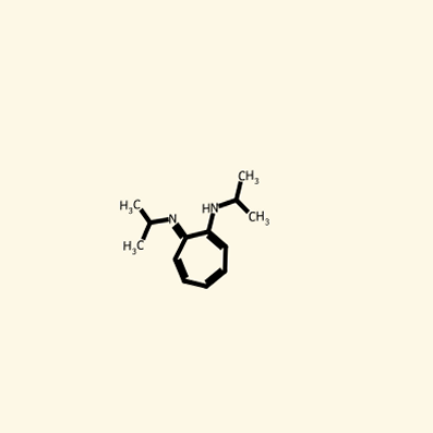 CC(C)N=c1cccccc1NC(C)C